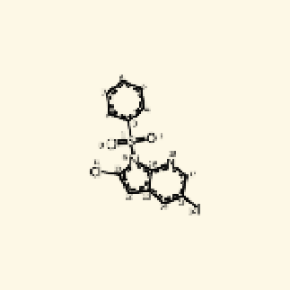 O=S(=O)(c1ccccc1)n1c(Cl)cc2cc(I)cnc21